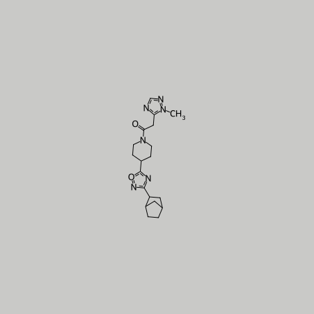 Cn1ncnc1CC(=O)N1CCC(c2nc(C3CC4CCC3C4)no2)CC1